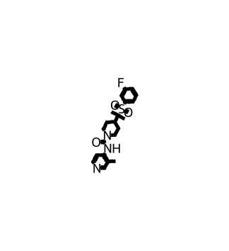 Cc1cnccc1NC(=O)N1CCC(C(C)(C)S(=O)(=O)c2cccc(F)c2)CC1